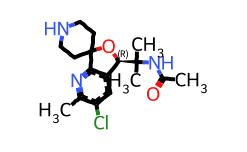 CC(=O)NC(C)(C)[C@@H]1OC2(CCNCC2)c2nc(C)c(Cl)cc21